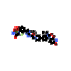 Cn1cc(-c2ccc(O)c(N3CC(=O)NS3(=O)=O)c2F)nc1NC(=O)CN1CCC(c2ccc3c(c2)n(C)c(=O)n3C2CCC(=O)NC2=O)CC1